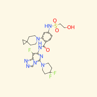 O=C(Nc1nc(N2CCC(F)(F)CC2)n2cnnc2c1F)c1ccc(NS(=O)(=O)CCO)cc1N1CCC2(CC1)CC2